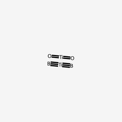 [B]#[Ti]#[B].[O]=[Ti]=[O]